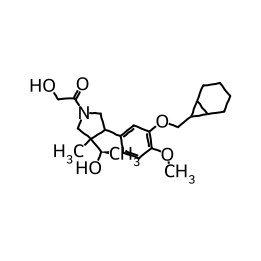 COc1ccc(C2CN(C(=O)CO)CC2(C)[C@@H](C)O)cc1OCC1C2CCCCC21